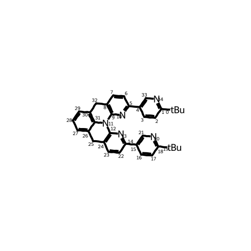 CC(C)(C)c1ccc(-c2ccc3c(n2)N2c4nc(-c5ccc(C(C)(C)C)nc5)ccc4Cc4cccc(c42)C3)cn1